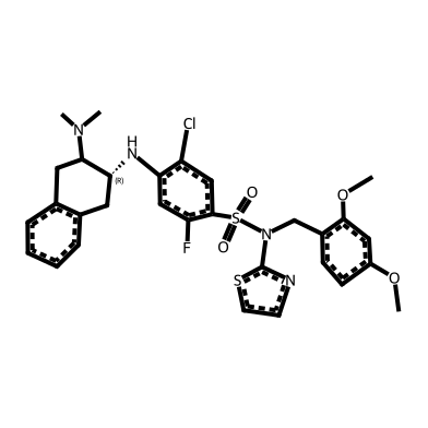 COc1ccc(CN(c2nccs2)S(=O)(=O)c2cc(Cl)c(N[C@@H]3Cc4ccccc4CC3N(C)C)cc2F)c(OC)c1